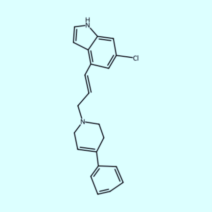 Clc1cc(C=CCN2CC=C(c3ccccc3)CC2)c2cc[nH]c2c1